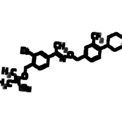 CCc1cc(/C(C)=N/OCc2ccc(C3CCCCC3)c(C(F)(F)F)c2)ccc1CO[Si](C)(C)C(C)(C)C